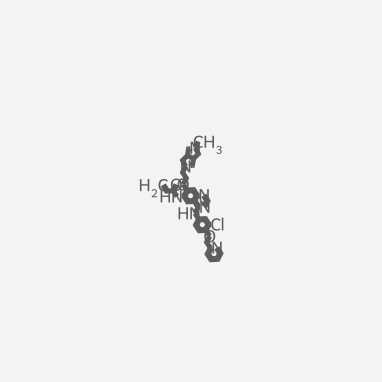 C=CC(=O)Nc1cc2c(Nc3ccc(OCc4ccccn4)c(Cl)c3)ncnc2cc1OCCN1CC2CN(C)CC2C1